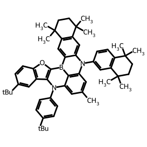 Cc1cc2c3c(c1)N(c1ccc(C(C)(C)C)cc1)c1c(oc4ccc(C(C)(C)C)cc14)B3c1cc3c(cc1N2c1ccc2c(c1)C(C)(C)CCC2(C)C)C(C)(C)CCC3(C)C